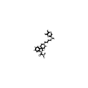 Cc1ncc(N(C)CCCCN2CCC3(CC2)CN(C(=O)N(C)C)c2ccccc23)nc1C